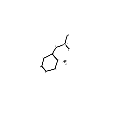 CN(C)CC1CCCCC1.F